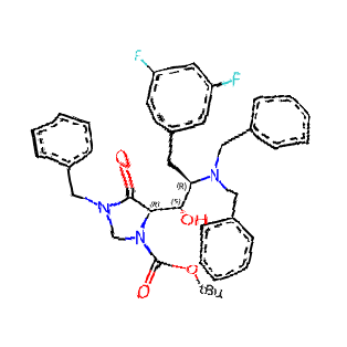 CC(C)(C)OC(=O)N1CN(Cc2ccccc2)C(=O)[C@H]1[C@@H](O)[C@@H](Cc1cc(F)cc(F)c1)N(Cc1ccccc1)Cc1ccccc1